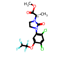 COC(=O)[C@H](C)N1CCN(c2cc(OC(F)(F)C(F)F)c(Cl)cc2Cl)C1=O